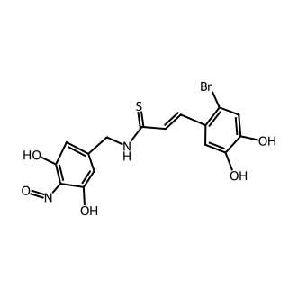 O=Nc1c(O)cc(CNC(=S)/C=C/c2cc(O)c(O)cc2Br)cc1O